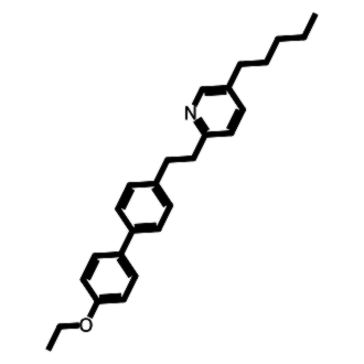 CCCCCc1ccc(CCc2ccc(-c3ccc(OCC)cc3)cc2)nc1